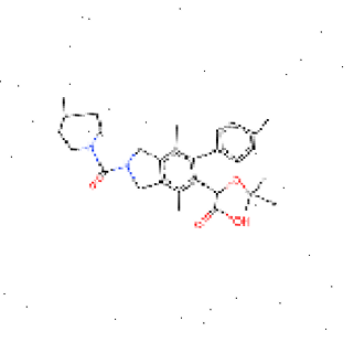 Cc1ccc(-c2c(C)c3c(c(C)c2C(OC(C)(C)C)C(=O)O)CN(C(=O)N2CCC(C)CC2)C3)cc1